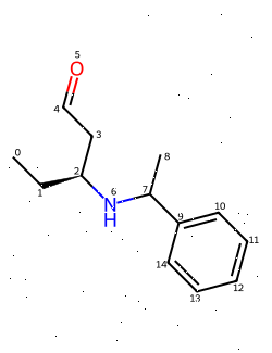 CC[C@@H](CC=O)NC(C)c1ccccc1